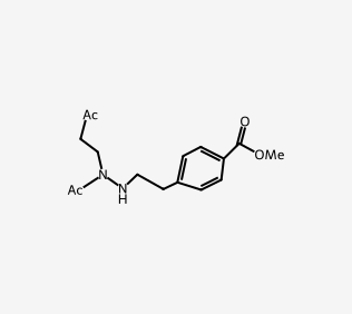 COC(=O)c1ccc(CCNN(CCC(C)=O)C(C)=O)cc1